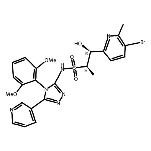 COc1cccc(OC)c1-n1c(NS(=O)(=O)[C@H](C)[C@@H](O)c2ccc(Br)c(C)n2)nnc1-c1cccnc1